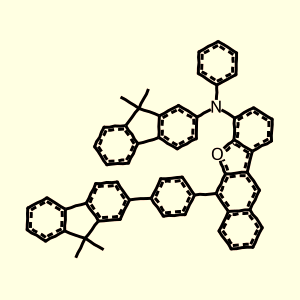 CC1(C)c2ccccc2-c2ccc(-c3ccc(-c4c5ccccc5cc5c4oc4c(N(c6ccccc6)c6ccc7c(c6)C(C)(C)c6ccccc6-7)cccc45)cc3)cc21